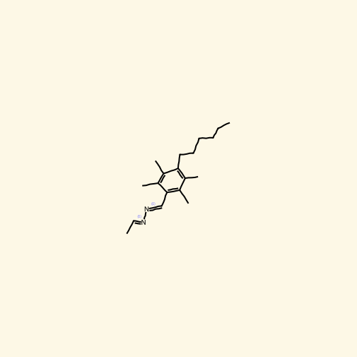 C/C=N/N=C/c1c(C)c(C)c(CCCCCC)c(C)c1C